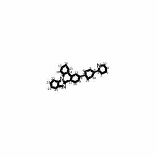 c1ccc(-c2ccc(-c3ccc4c(c3)c3ccccc3n3c5ccccc5nc43)cc2)nc1